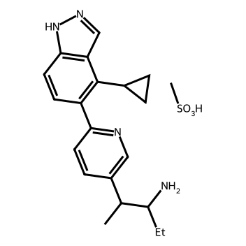 CCC(N)C(C)c1ccc(-c2ccc3[nH]ncc3c2C2CC2)nc1.CS(=O)(=O)O